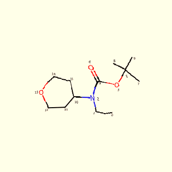 CCN(C(=O)OC(C)(C)C)C1CCOCC1